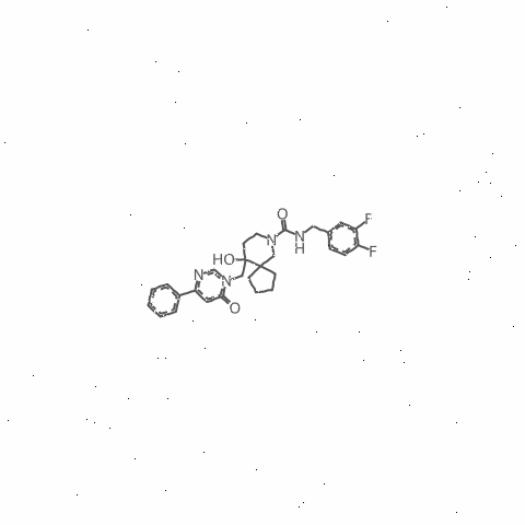 O=C(NCc1ccc(F)c(F)c1)N1CCC(O)(Cn2cnc(-c3ccccc3)cc2=O)C2(CCCC2)C1